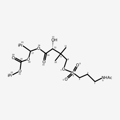 CC(=O)NCCCS(=O)(=O)OCC(C)(C)[C@@H](O)C(=O)OC(OC(=O)OC(C)C)C(C)C